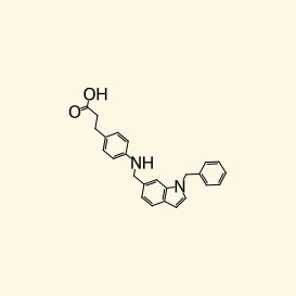 O=C(O)CCc1ccc(NCc2ccc3ccn(Cc4ccccc4)c3c2)cc1